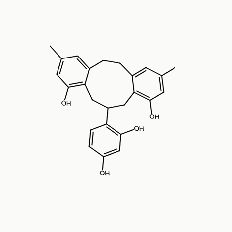 Cc1cc(O)c2c(c1)CCc1cc(C)cc(O)c1CC(c1ccc(O)cc1O)C2